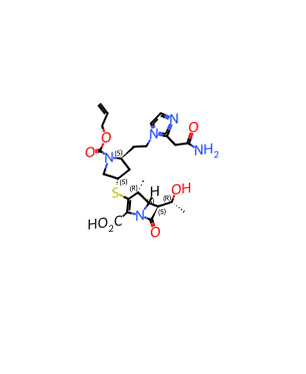 C=CCOC(=O)N1C[C@@H](SC2=C(C(=O)O)N3C(=O)[C@H]([C@@H](C)O)[C@H]3[C@H]2C)C[C@@H]1CCn1ccnc1CC(N)=O